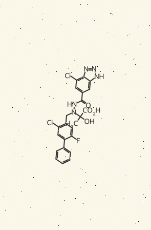 CC(O)(C(=O)O)N(Cc1cc(F)c(-c2ccccc2)cc1Cl)NC(=O)c1cc(Cl)c2nn[nH]c2c1